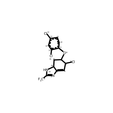 FC(F)(F)C1=NC2=CC(Cl)C(Oc3ccc(Cl)cc3Cl)CC2N1